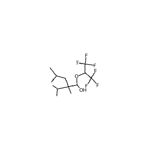 CC(C)CC(C)(C(C)C)C(O)OC(C(F)(F)F)C(F)(F)F